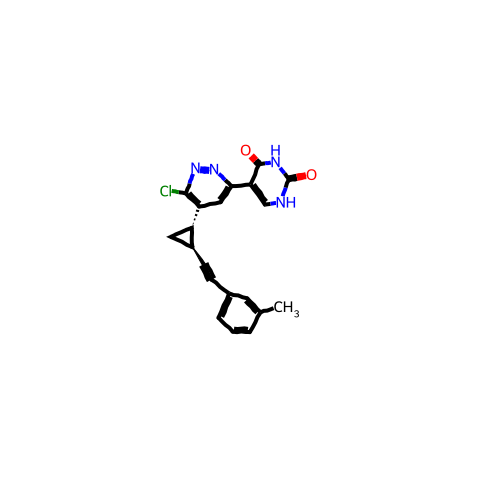 Cc1cccc(C#C[C@H]2C[C@@H]2c2cc(-c3c[nH]c(=O)[nH]c3=O)nnc2Cl)c1